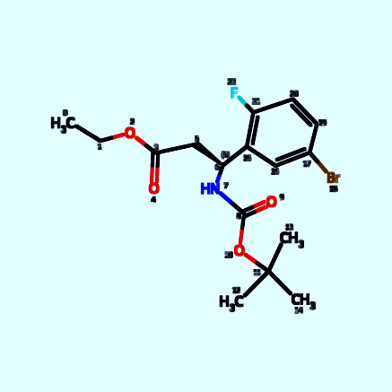 CCOC(=O)C[C@H](NC(=O)OC(C)(C)C)c1cc(Br)ccc1F